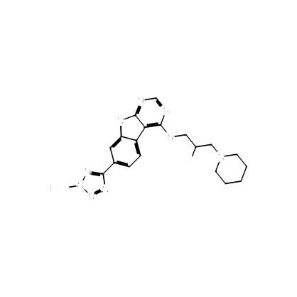 Cn1nnc(-c2ccc3c(c2)[nH]c2ncnc(NCC(O)CN4CCCCC4)c23)n1